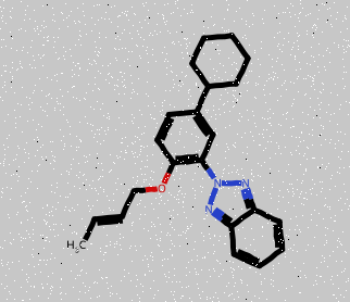 CC=CCOc1ccc(C2CCCCC2)cc1-n1nc2ccccc2n1